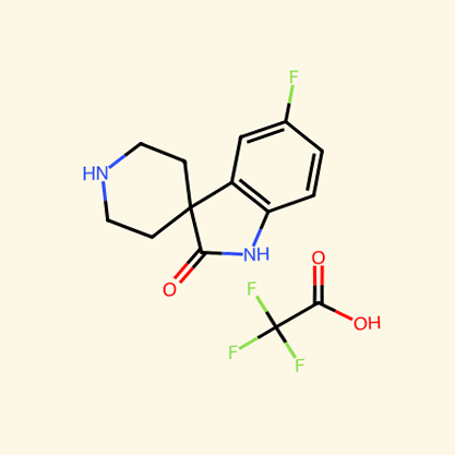 O=C(O)C(F)(F)F.O=C1Nc2ccc(F)cc2C12CCNCC2